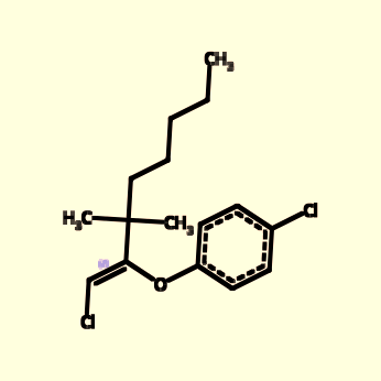 CCCCCC(C)(C)/C(=C/Cl)Oc1ccc(Cl)cc1